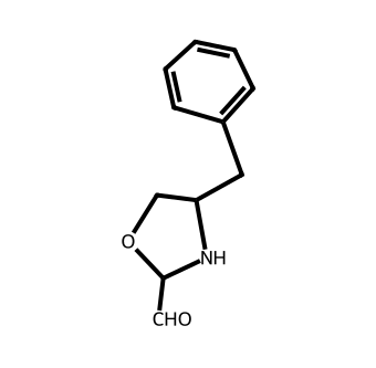 O=CC1NC(Cc2ccccc2)CO1